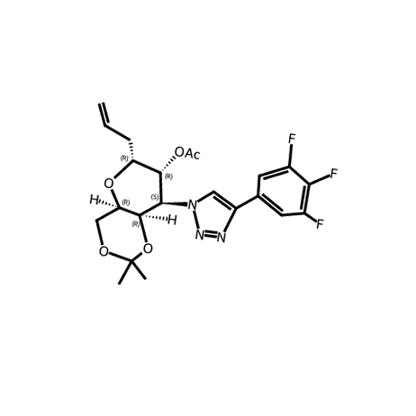 C=CC[C@H]1O[C@@H]2COC(C)(C)O[C@@H]2[C@H](n2cc(-c3cc(F)c(F)c(F)c3)nn2)[C@H]1OC(C)=O